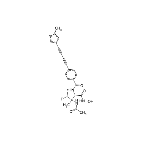 CC(=O)NC(C)(C(F)F)C(NC(=O)c1ccc(C#CC#Cc2cnn(C)c2)cc1)C(=O)NO